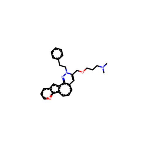 CN(C)CCCOCC1=Cc2cccc3c(cc4cccoc43)c2=NN1CCc1ccccc1